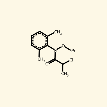 Cc1cccc(C)c1N(OC(C)C)C(=O)C(C)Cl